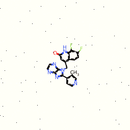 Cc1cnccc1-c1nc2nccnc2n1Cc1cc(=O)[nH]c2c(F)c(F)ccc12